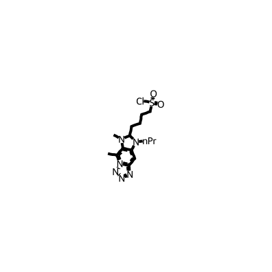 CCCN1c2cc3nnnn3c(C)c2N(C)C1CCCCS(=O)(=O)Cl